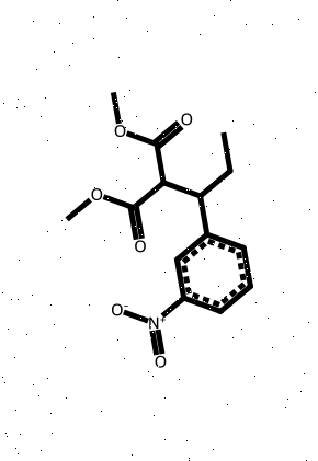 CCC(c1cccc([N+](=O)[O-])c1)C(C(=O)OC)C(=O)OC